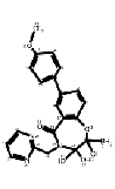 BC1(O)Oc2ccc(-c3ccc(OC(F)(F)F)cc3)cc2C(=O)N(Cc2ncccn2)C1(O)O